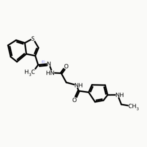 CCNc1ccc(C(=O)NCC(=O)N/N=C(\C)c2csc3ccccc23)cc1